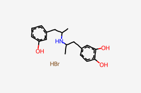 Br.CC(Cc1cccc(O)c1)NC(C)Cc1ccc(O)c(O)c1